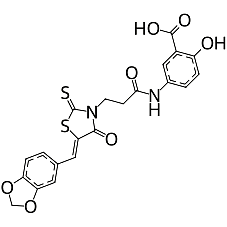 O=C(CCN1C(=O)/C(=C/c2ccc3c(c2)OCO3)SC1=S)Nc1ccc(O)c(C(=O)O)c1